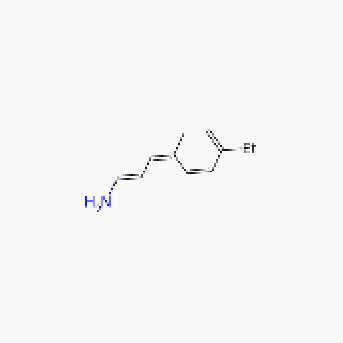 C=C(\C=C/C(C)=C\C=C\N)CC